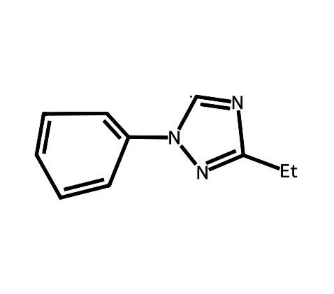 CCc1n[c]n(-c2ccccc2)n1